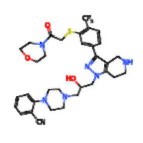 N#Cc1ccccc1N1CCN(CC(O)Cn2nc(-c3ccc(C(F)(F)F)c(SCC(=O)N4CCOCC4)c3)c3c2CCNC3)CC1